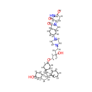 CC(O)(CCOc1ccc([C@@H]2c3ccc(O)cc3CC[C@@H]2c2ccccc2)cc1)CCN1CCN(c2ccc3c(c2)CN(C2CCC(=O)NC2=O)C3=O)CC1